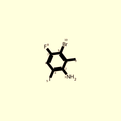 Cc1c(N)c(I)cc(F)c1Br